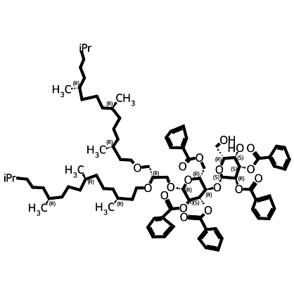 CC(C)CCC[C@@H](C)CCC[C@@H](C)CCC[C@@H](C)CCOC[C@H](CO[C@@H]1O[C@H](COC(=O)c2ccccc2)[C@@H](O[C@@H]2O[C@H](CO)[C@H](O)[C@H](OC(=O)c3ccccc3)[C@H]2OC(=O)c2ccccc2)[C@H](OC(=O)c2ccccc2)[C@H]1OC(=O)c1ccccc1)OCC[C@H](C)CCC[C@H](C)CCC[C@H](C)CCCC(C)C